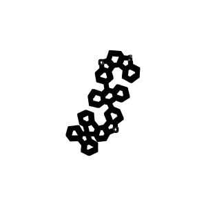 c1ccc2c(c1)-c1ccccc1C21c2ccccc2-c2c1ccc1oc3ccc(-c4c5ccccc5c(-c5ccc6oc7ccc8sc9ccccc9c8c7c6c5)c5ccccc45)cc3c21